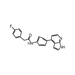 O=C(Cc1ccc(F)cc1)Nc1ccc(-c2ccnc3[nH]ccc23)cc1